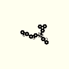 c1ccc2c(c1)oc1cc(-c3ccc4oc5cc(-c6nc(-c7ccc8c(c7)oc7ccccc78)nc(-c7ccc8c9ccccc9c9ccccc9c8c7)n6)ccc5c4c3)ccc12